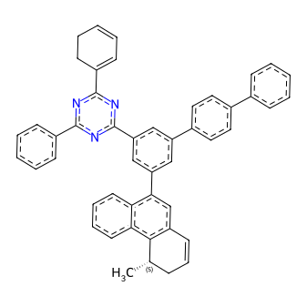 C[C@H]1CC=Cc2cc(-c3cc(-c4ccc(-c5ccccc5)cc4)cc(-c4nc(C5=CC=CCC5)nc(-c5ccccc5)n4)c3)c3ccccc3c21